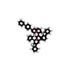 c1ccc(-c2ccc(-c3cccc(N(c4ccccc4-c4ccccc4-n4c5ccccc5c5ccccc54)c4ccccc4-c4cccc5c4oc4ccccc45)c3)cc2)cc1